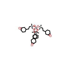 C[Si](C)(CCC1CCC2OC2C1)O[Si](O[Si](C)(C)CCC1CCC2OC2C1)(O[Si](C)(C)CCC1CCC2OC2C1)O[Si](C)(C)C12CCC(CC1)C2